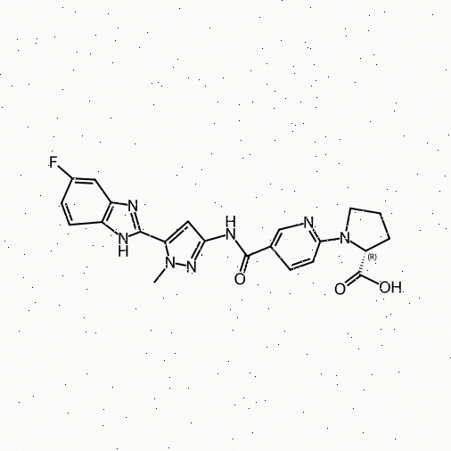 Cn1nc(NC(=O)c2ccc(N3CCC[C@@H]3C(=O)O)nc2)cc1-c1nc2cc(F)ccc2[nH]1